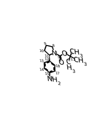 CC(C)(C)OC(=O)N1CCC[C@@H]1c1ccc(N)cc1